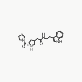 O=C(CC1CN[C@H](C(=O)N2CCSC2)C1)NCCc1c[nH]c2ccccc12